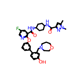 Cc1cc(C(=O)NC2CCC(NC(=O)c3cc(F)cnc3Oc3cccc(-c4ccc(O)cc4CN4CCCOCC4)c3)CC2)nn1C